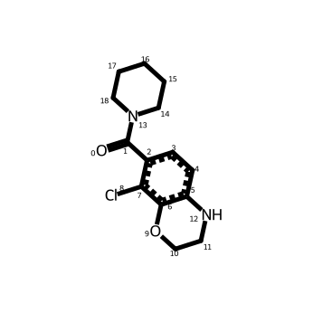 O=C(c1ccc2c(c1Cl)OCCN2)N1CCCCC1